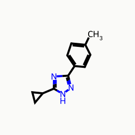 Cc1ccc(-c2n[nH]c(C3CC3)n2)cc1